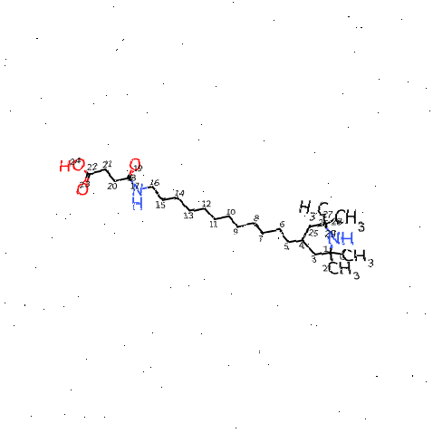 CC1(C)CC(CCCCCCCCCCCCNC(=O)CCC(=O)O)CC(C)(C)N1